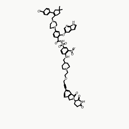 CC1(C)CCC(CN2CCN(c3ccc(C(=O)NS(=O)(=O)c4ccc(NCC5CCN(CCOCC#Cc6ccc7c(c6)C(=O)N(C6CCC(=O)NC6=O)C7)CC5)c([N+](=O)[O-])c4)c(Oc4cnc5[nH]ccc5c4)c3)CC2)=C(c2ccc(Cl)cc2)C1